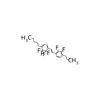 CCCCCC1=CC=C(/C=C/c2ccc(CCC)c(F)c2F)C(F)(F)C1(F)F